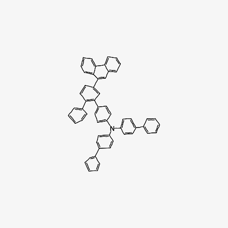 c1ccc(-c2ccc(N(c3ccc(-c4ccccc4)cc3)c3ccc(-c4cc(-c5cc6ccccc6c6ccccc56)ccc4-c4ccccc4)cc3)cc2)cc1